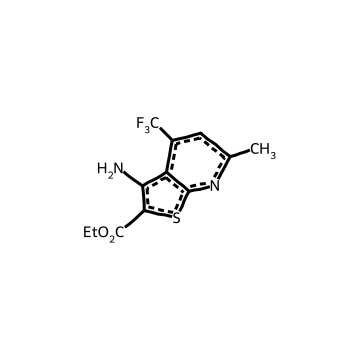 CCOC(=O)c1sc2nc(C)cc(C(F)(F)F)c2c1N